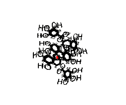 O=C(O[C@H]1Cc2c(O)cc(O)cc2O[C@@H]1c1cc(O)c(O)c(O)c1-c1c([C@H]2Oc3cc(O)cc(O)c3C[C@@H]2OC(=O)c2cc(O)c(O)c(O)c2)cc(O)c(O)c1O)c1cc(O)c(O)c(O)c1